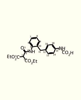 CCOC(=O)C(C(=O)Nc1ccccc1Cc1ccc(NC(=O)O)cc1)C(=O)OCC